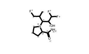 CC(CF)C(C(O)C(F)F)N1CCCC1C(N)=O